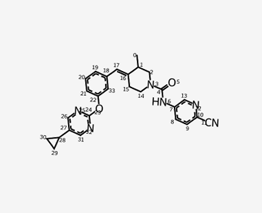 CC1CN(C(=O)Nc2ccc(C#N)nc2)CC/C1=C\c1cccc(Oc2ncc(C3CC3)cn2)c1